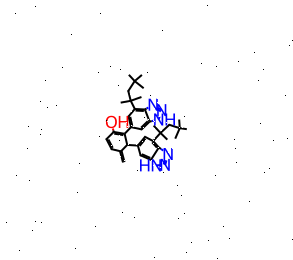 C=C1C=CC(O)=C(c2cc(C(C)(C)CC(C)(C)C)c3nn[nH]c3c2)C1c1cc(C(C)(C)CC(C)(C)C)c2nn[nH]c2c1